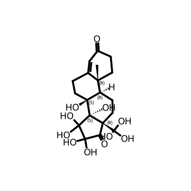 C[C@]12CCC(=O)C=C1CC[C@]1(O)[C@@H]2CC[C@]2(C(O)(O)O)C(=O)C(O)(O)C(O)(O)[C@@]12O